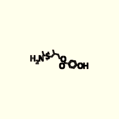 CC(CCOC(=O)c1ccc(O)cc1)CS(C)(C)C(C)N